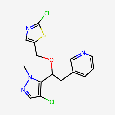 Cn1ncc(Cl)c1C(Cc1cccnc1)OCc1cnc(Cl)s1